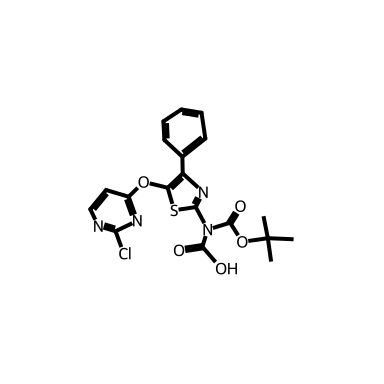 CC(C)(C)OC(=O)N(C(=O)O)c1nc(-c2ccccc2)c(Oc2ccnc(Cl)n2)s1